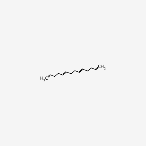 C=CCCC=CCCC=CCCC=C